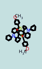 COc1ccc(-c2cc3c(s2)C2(c4ccccc4N(c4ccccc4)c4ccccc42)c2cc(-c4ccc(OC)cc4)sc2C32c3ccccc3N(c3ccccc3)c3ccccc32)cc1